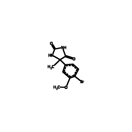 COc1cc(C2(C)NC(=O)NC2=O)ccc1Br